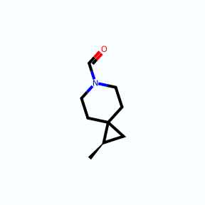 C[C@@H]1CC12CCN(C=O)CC2